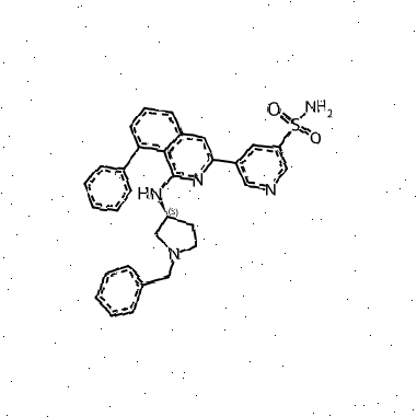 NS(=O)(=O)c1cncc(-c2cc3cccc(-c4ccccc4)c3c(N[C@H]3CCN(Cc4ccccc4)C3)n2)c1